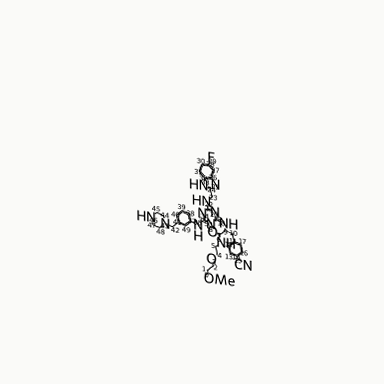 COCCOCCNC(=O)[C@H](Cc1ccc(C#N)cc1)Nc1nc(NCc2nc3cc(F)ccc3[nH]2)nc(Nc2cccc(CN3CCNCC3)c2)n1